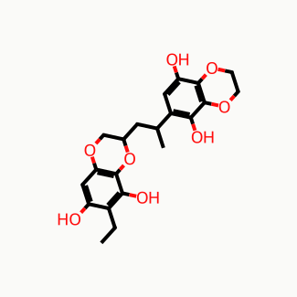 CCc1c(O)cc2c(c1O)OC(CC(C)c1cc(O)c3c(c1O)OCCO3)CO2